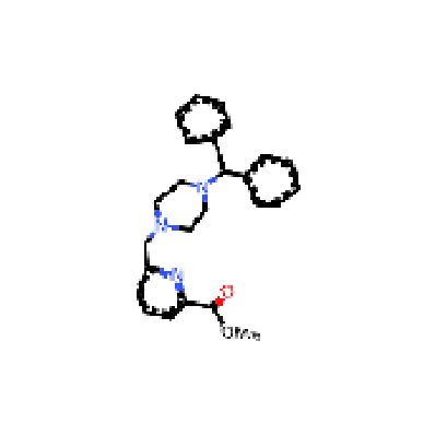 COC(=O)c1cccc(CN2CCN(C(c3ccccc3)c3ccccc3)CC2)n1